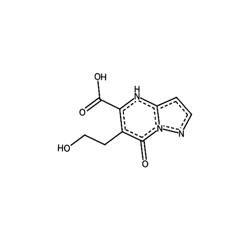 O=C(O)c1[nH]c2ccnn2c(=O)c1CCO